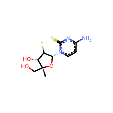 C[C@]1(CO)O[C@@H](n2ccc(N)nc2=S)C(F)[C@H]1O